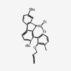 C=CCOc1c(C)cccc1-c1c(C(C)(C)C)ccc2c1C([SiH](CC)CC)c1cc(C(C)(C)C)ccc1-2